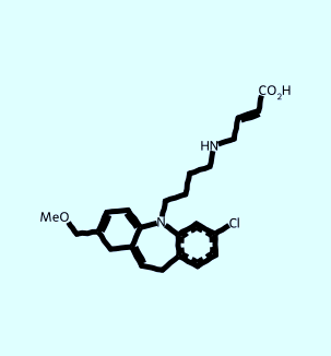 COCC1=CC=C2C(=CCc3ccc(Cl)cc3N2CCCCNC/C=C/C(=O)O)C1